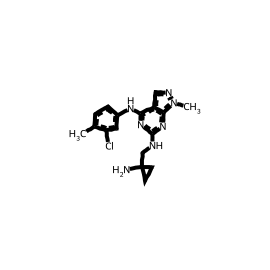 Cc1ccc(Nc2nc(NCC3(N)CC3)nc3c2cnn3C)cc1Cl